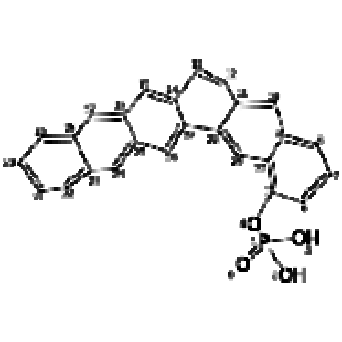 O=P(O)(O)Oc1cccc2cc3ccc4cc5cc6ccccc6cc5cc4c3cc12